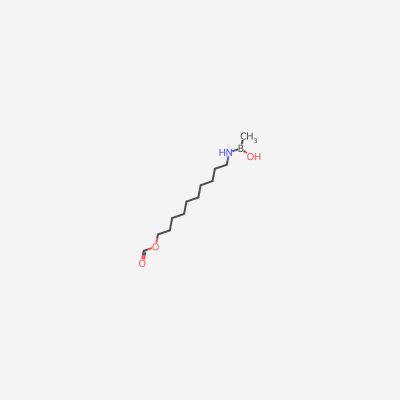 CB(O)NCCCCCCCCCCOC=O